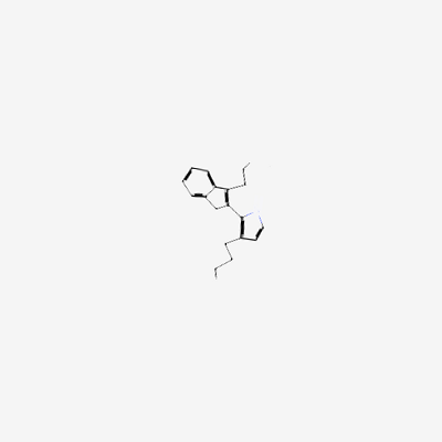 CCCCc1cc[nH]c1C1=C(CCC)c2ccccc2[CH]1